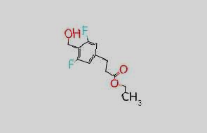 CCOC(=O)CCc1cc(F)c(CO)c(F)c1